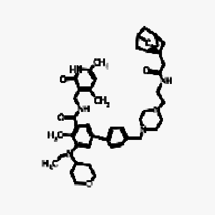 CCN(c1cc(-c2ccc(CN3CCN(CCNC(=O)CC45CC6CC(CC4C6)C5)CC3)cc2)cc(C(=O)NCc2c(C)cc(C)[nH]c2=O)c1C)C1CCOCC1